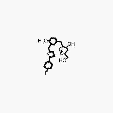 Cc1ccc(CC2OOC(CO)CC2O)cc1Cc1ccc(-c2ccc(F)cc2)s1